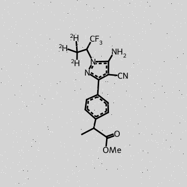 [2H]C([2H])([2H])C(n1nc(-c2ccc(C(C)C(=O)OC)cc2)c(C#N)c1N)C(F)(F)F